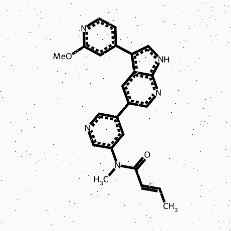 C/C=C/C(=O)N(C)c1cncc(-c2cnc3[nH]cc(-c4ccnc(OC)c4)c3c2)c1